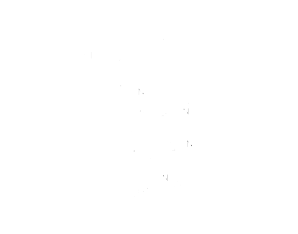 O=[N+]([O-])c1ccc(N(CCCl)CCCl)c2nonc12